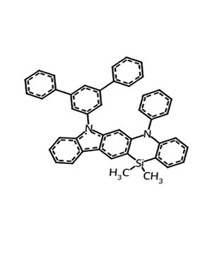 C[Si]1(C)c2ccccc2N(c2ccccc2)c2cc3c(cc21)c1ccccc1n3-c1cc(-c2ccccc2)cc(-c2ccccc2)c1